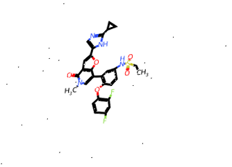 CCS(=O)(=O)Nc1ccc(Oc2ccc(F)cc2F)c(-c2cn(C)c(=O)c3cc(-c4cnc(C5CC5)[nH]4)oc23)c1